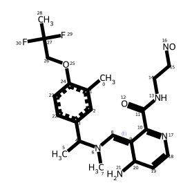 Cc1cc(C(C)N(C)/C=C2/C(C(=O)NCCN=O)=NC=CC2N)ccc1OCC(C)(F)F